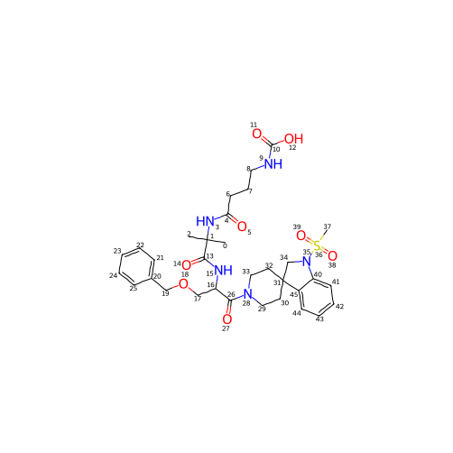 CC(C)(NC(=O)CCCNC(=O)O)C(=O)NC(COCc1ccccc1)C(=O)N1CCC2(CC1)CN(S(C)(=O)=O)c1ccccc12